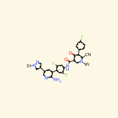 CCn1cc(-c2cnc(N)c(-c3cc(F)c(NC(=O)c4cn(C(C)C)c(C#N)c(-c5ccc(F)cc5)c4=O)cc3F)c2)cn1